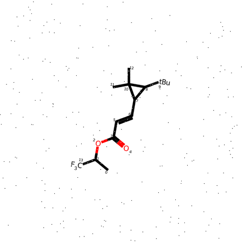 CC(OC(=O)/C=C/C1C(C(C)(C)C)C1(C)C)C(F)(F)F